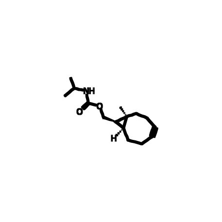 CC(C)NC(=O)OC[C@@H]1[C@@H]2CCC#CCC[C@]12C